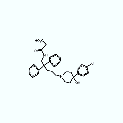 O=C(O)CC(=O)NCC(CCCN1CCC(O)(c2ccc(Cl)cc2)CC1)(c1ccccc1)c1ccccc1